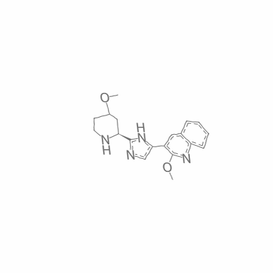 COc1nc2ccccc2cc1-c1cnc([C@@H]2CC(OC)CCN2)[nH]1